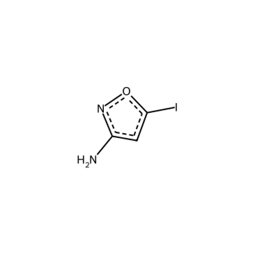 Nc1cc(I)on1